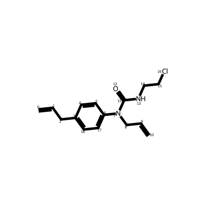 C=CCc1ccc(N(CC=C)C(=O)NCCCl)cc1